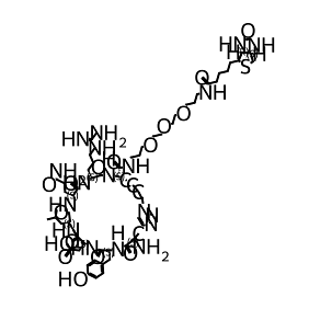 CC(C)C[C@@H]1NC(=O)[C@H](CC(=O)O)NC(=O)[C@H](Cc2ccc(O)cc2)NC(=O)[C@@H](N)Cc2cn(nn2)CCCC[C@@H](C(=O)NCCCOCCOCCOCCCNC(=O)CCCCC2SC[C@H]3NC(=O)N[C@@H]23)NC(=O)[C@H](CCCNC(=N)N)NC(=O)[C@H](CCC(N)=O)NC1=O